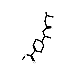 COC(=O)C1=CCC(C(C)CC(=O)CC(C)C)CC1